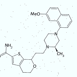 COc1ccc2cccc(N3CCN(CCC4OCCc5cc(C(N)=O)sc54)[C@H](C)C3)c2c1